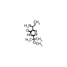 CCC(N)c1nnc(C(C)(C)OC)[nH]c1=O